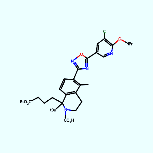 CCOC(=O)CCCC1(C(C)(C)C)c2ccc(-c3noc(-c4cnc(OC(C)C)c(Cl)c4)n3)c(C)c2CCN1C(=O)O